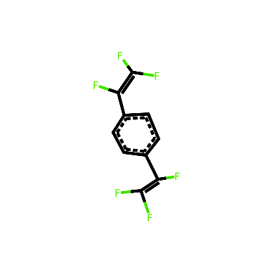 FC(F)=C(F)c1ccc(C(F)=C(F)F)cc1